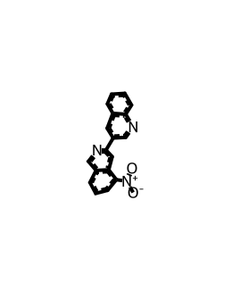 O=[N+]([O-])c1cccc2cnc(-c3cnc4ccccc4c3)cc12